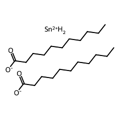 CCCCCCCCCCC(=O)[O-].CCCCCCCCCCC(=O)[O-].[SnH2+2]